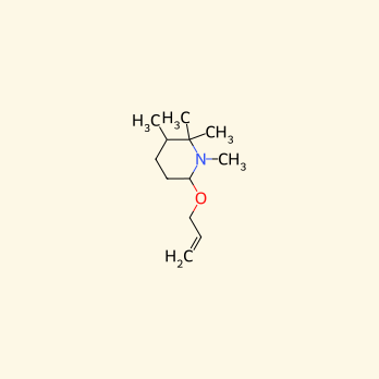 C=CCOC1CCC(C)C(C)(C)N1C